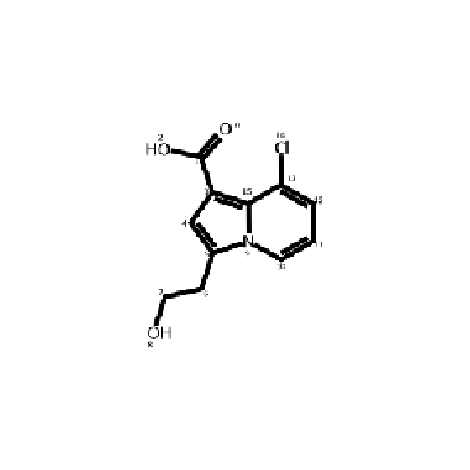 O=C(O)c1cc(CCO)n2cccc(Cl)c12